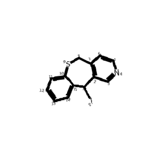 IC1c2cnccc2CSc2ccccc21